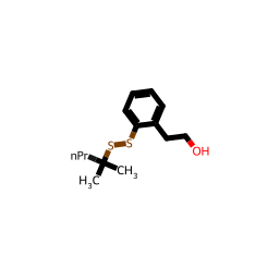 CCCC(C)(C)SSc1ccccc1CCO